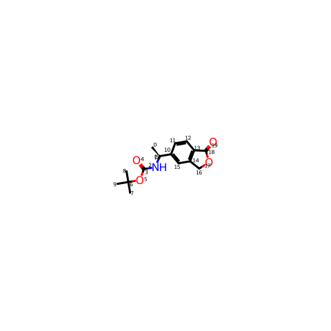 C[C@H](NC(=O)OC(C)(C)C)c1ccc2c(c1)COC2=O